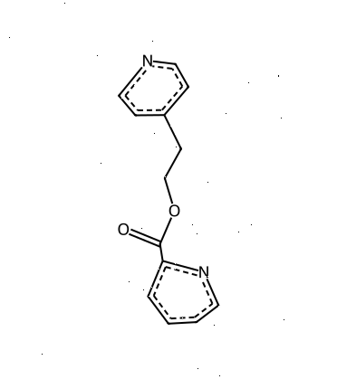 O=C(OCCc1ccncc1)c1ccccn1